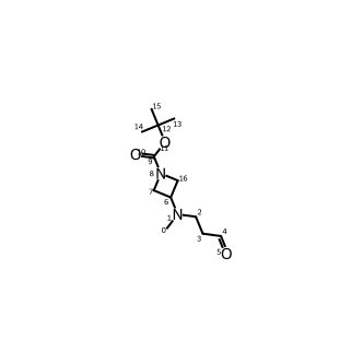 CN(CCC=O)C1CN(C(=O)OC(C)(C)C)C1